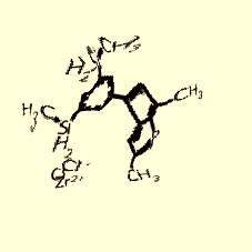 C[SiH2]c1cc([SiH2]C)cc(C2=CC(C)=C3P=C(C)C=C23)c1.[Cl-].[Cl-].[Zr+2]